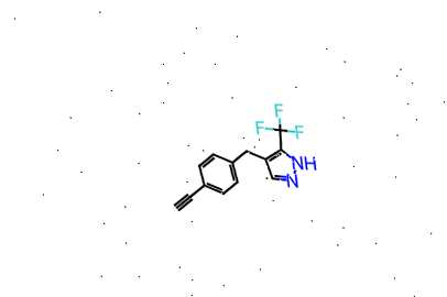 C#Cc1ccc(Cc2[c]n[nH]c2C(F)(F)F)cc1